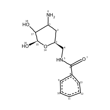 NC1C[C@@H](CNC(=O)c2ccccc2)O[C@@H](O)C1O